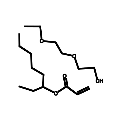 C=CC(=O)OC(CC)CCCCC.CCOCCOCCO